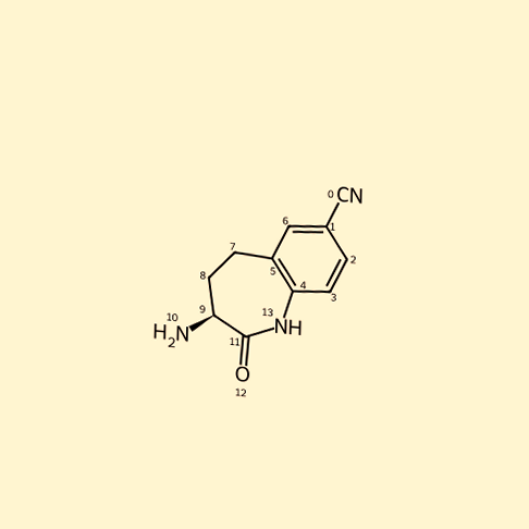 N#Cc1ccc2c(c1)CC[C@H](N)C(=O)N2